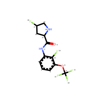 O=C(Nc1cccc(OC(F)(F)F)c1F)C1CC(F)CN1